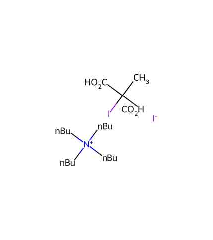 CC(I)(C(=O)O)C(=O)O.CCCC[N+](CCCC)(CCCC)CCCC.[I-]